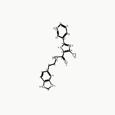 O=C(NCCc1ccc2c(c1)OCO2)c1sc(-c2cccnc2)nc1Cl